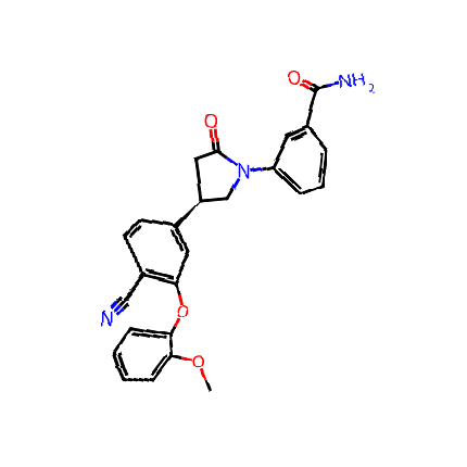 COc1ccccc1Oc1cc([C@H]2CC(=O)N(c3cccc(C(N)=O)c3)C2)ccc1C#N